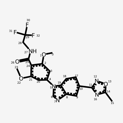 COc1cc(-n2cnc3cc(-c4noc(C)n4)ccc32)cc(OC)c1C(=O)NCC(F)(F)F